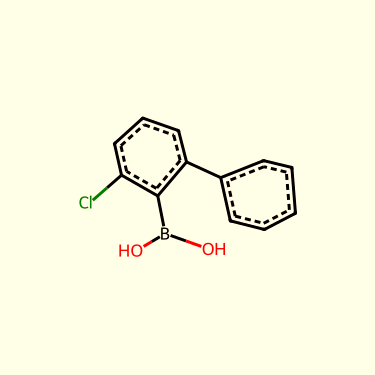 OB(O)c1c(Cl)cccc1-c1ccccc1